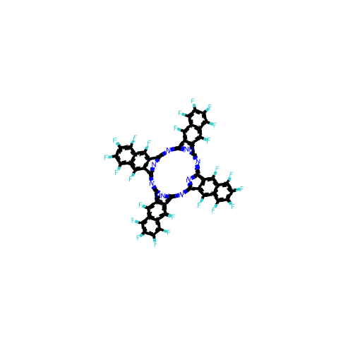 Fc1c(F)c(F)c2c(F)c3c(c(F)c2c1F)-c1nc-3nc2[nH]c(nc3nc(nc4[nH]c(n1)c1c(F)c5c(F)c(F)c(F)c(F)c5c(F)c41)-c1c-3c(F)c3c(F)c(F)c(F)c(F)c3c1F)c1c(F)c3c(F)c(F)c(F)c(F)c3c(F)c21